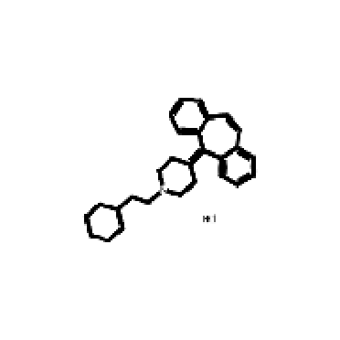 C1=Cc2ccccc2C(=C2CCN(CCC3CCCCC3)CC2)c2ccccc21.Cl